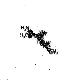 COc1nc2[nH]cc(F)c2cc1Oc1cc(N2CCC3(CC2)CC(N2CCN(CCN)C[C@H]2c2ccccc2C(C)C)C3)ccc1C(=O)NS(=O)(=O)c1cnc(NCC2CCC(C)(O)CC2)c([N+](=O)[O-])c1